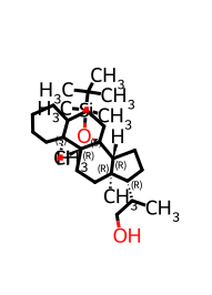 CC(CO)[C@H]1CC[C@@H]2[C@]1(C)CC[C@H]1[C@@]2(O[Si](C)(C)C(C)(C)C)CCC2CCCC[C@@]21C